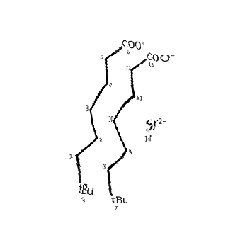 CC(C)(C)CCCCCC(=O)[O-].CC(C)(C)CCCCCC(=O)[O-].[Sr+2]